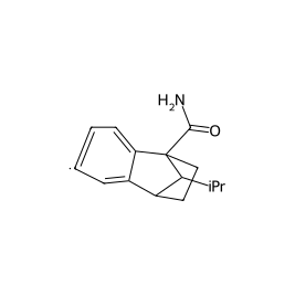 CC(C)C1C2CCC1(C(N)=O)c1cc[c]cc12